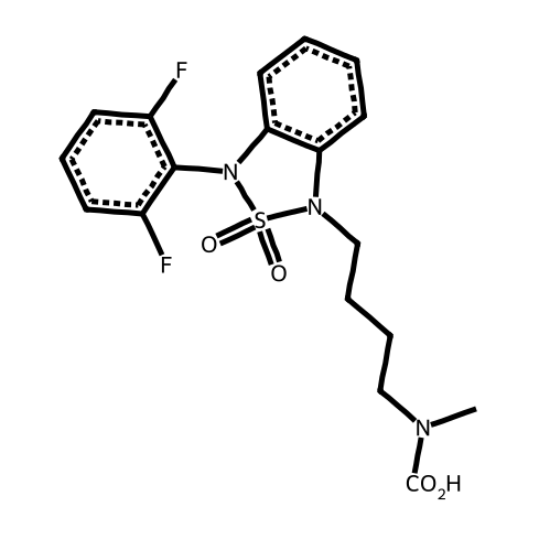 CN(CCCCN1c2ccccc2N(c2c(F)cccc2F)S1(=O)=O)C(=O)O